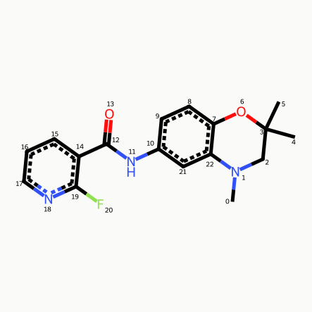 CN1CC(C)(C)Oc2ccc(NC(=O)c3cccnc3F)cc21